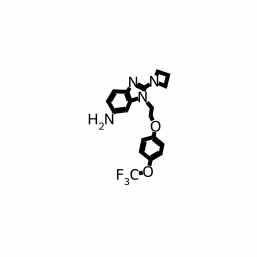 Nc1ccc2nc(N3CCC3)n(CCOc3ccc(OC(F)(F)F)cc3)c2c1